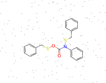 O=C(OSCc1ccccc1)N(SCc1ccccc1)c1ccccc1